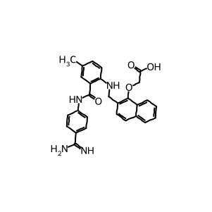 Cc1ccc(NCc2ccc3ccccc3c2OCC(=O)O)c(C(=O)Nc2ccc(C(=N)N)cc2)c1